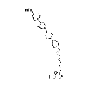 C=CC(CCCCCOCc1ccc(C2CCC(c3ccc(-c4ccc(CCC)cc4)c(C)c3)CC2)cc1)OO